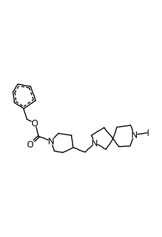 O=C(OCc1ccccc1)N1CCC(CN2CCC3(CCN(I)CC3)C2)CC1